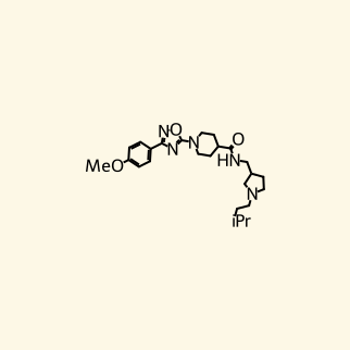 COc1ccc(-c2noc(N3CCC(C(=O)NCC4CCN(CCC(C)C)C4)CC3)n2)cc1